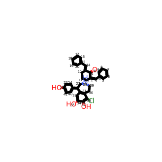 O=C1/C(=C\c2ccccc2)CCC/C1=C\c1ccccc1.Oc1ccc(C2CNCCc3c2cc(O)c(O)c3Cl)cc1